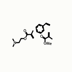 C=C(C)C(=O)OC.C=C(C)C(=O)OCCN(C)C.C=Cc1ccccc1